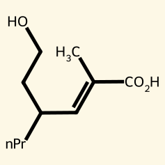 CCCC(C=C(C)C(=O)O)CCO